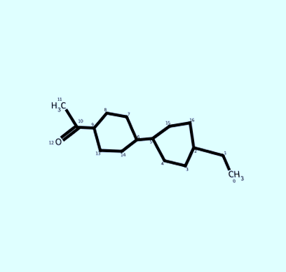 CCC1CCC(C2CCC(C(C)=O)CC2)CC1